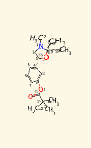 CN1C[C@@H](c2cccc(OC(=O)C(C)(C)C)c2)OC1(C)C